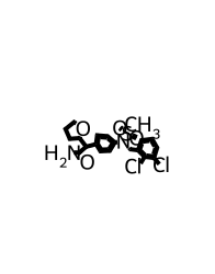 CS(=O)(=O)N(Cc1cccc(Cl)c1Cl)c1ccc(C(C(N)=O)C2CCCO2)cc1